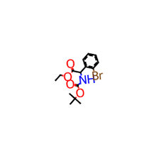 CCOC(=O)C(NC(=O)OC(C)(C)C)c1ccccc1Br